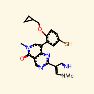 CN/C=C(\C=N)c1ncc2c(=O)n(C)cc(-c3cc(S)ccc3OCC3CC3)c2n1